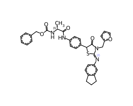 C[C@H](NC(=O)OCc1ccccc1)C(=O)Nc1ccc(C2S/C(=N\c3ccc4c(c3)CCC4)N(Cc3ccco3)C2=O)cc1